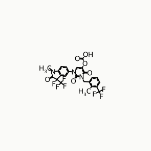 Cc1c(Cn2c(=O)c(OC(=O)O)cn(-c3ccc4c(c3)C(F)(C(F)(F)F)C(=O)N4C)c2=O)cccc1C(F)(F)F